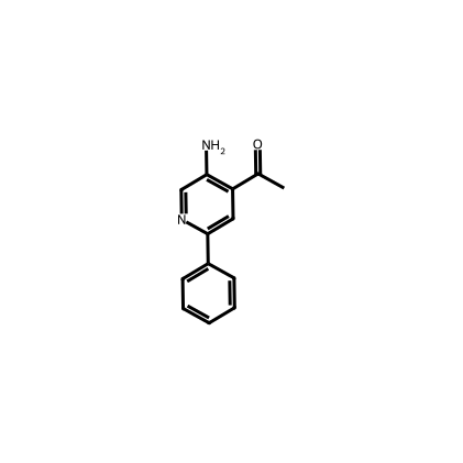 CC(=O)c1cc(-c2ccccc2)ncc1N